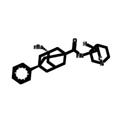 CCCC[C@@]12CC3CC(C(=O)N[C@H]4CN5CCC4CC5)(C1)C[C@](c1ccccc1)(C3)C2